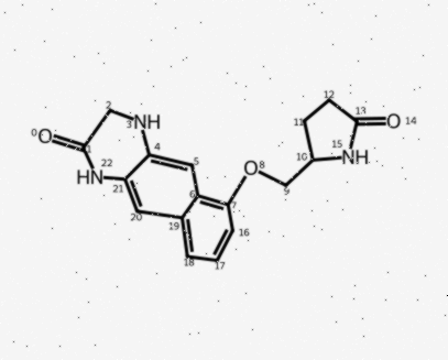 O=C1CNc2cc3c(OCC4CCC(=O)N4)cccc3cc2N1